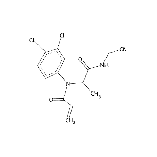 C=CC(=O)N(c1ccc(Cl)c(Cl)c1)C(C)C(=O)NCC#N